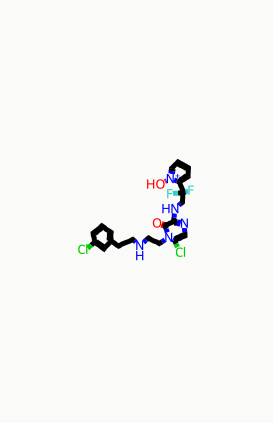 O=c1c(NCC(F)(F)c2cccc[n+]2O)ncc(Cl)n1CCNCCc1cccc(Cl)c1